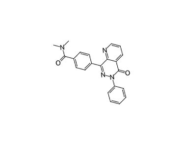 CN(C)C(=O)c1ccc(-c2nn(-c3ccccc3)c(=O)c3cccnc23)cc1